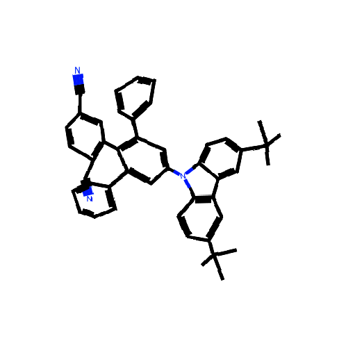 CC(C)(C)c1ccc2c(c1)c1cc(C(C)(C)C)ccc1n2-c1cc(-c2ccccc2)c(-c2cc(C#N)ccc2C#N)c(-c2ccccc2)c1